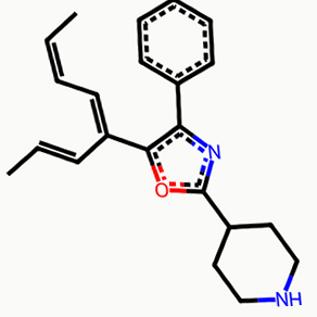 C\C=C/C=C(\C=C\C)c1oc(C2CCNCC2)nc1-c1ccccc1